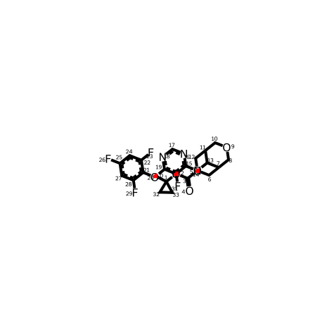 CC1(OC(=O)N2CC3COCC(C2)C3Oc2ncnc(Oc3c(F)cc(F)cc3F)c2F)CC1